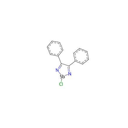 [Cl][Sb]1[N]=C(c2ccccc2)C(c2ccccc2)=[N]1